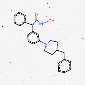 O=C(NO)C(c1ccccc1)c1cccc(N2CCC(Cc3ccccc3)CC2)c1